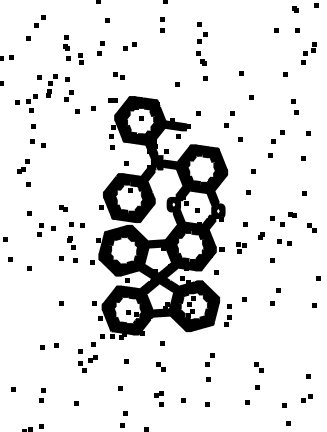 Cc1ccccc1N(c1ccccc1)c1cccc2c1Oc1c(ccc3c1-c1ccccc1C31c3ccccc3-c3ccccc31)O2